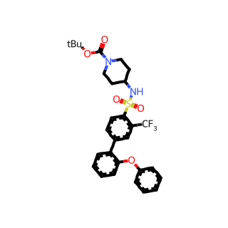 CC(C)(C)OC(=O)N1CCC(NS(=O)(=O)c2ccc(-c3ccccc3Oc3ccccc3)cc2C(F)(F)F)CC1